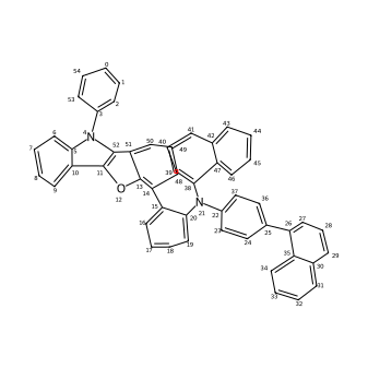 c1ccc(-n2c3ccccc3c3oc4c(-c5ccccc5N(c5ccc(-c6cccc7ccccc67)cc5)c5cccc6ccccc56)cccc4c32)cc1